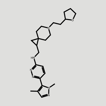 Cc1cnn(C)c1-c1ccc(NCC2CC23CCN(CCC2CCCO2)CC3)nn1